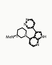 CN[C@H]1CCCN(c2ccnc3[nH]cc(-c4ccnnc4)c23)C1